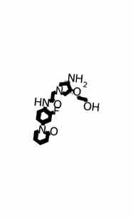 N[C@H]1CN(CC(=O)Nc2ccc(-n3ccccc3=O)cc2F)C[C@@H]1OCCO